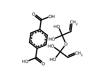 C=CC(O)(O)OC(O)(O)C=C.O=C(O)c1ccc(C(=O)O)cc1